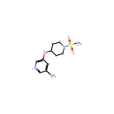 Cc1cncc(OC2CCN(S(C)(=O)=O)CC2)c1